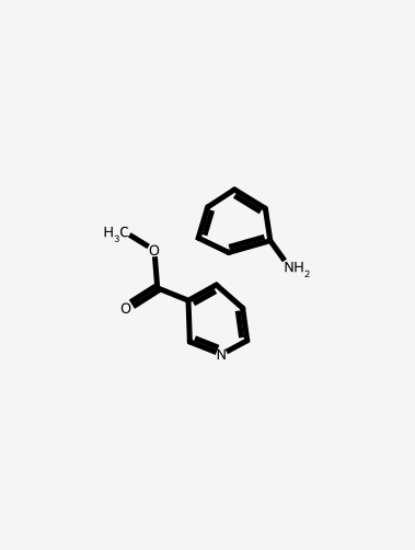 COC(=O)c1cccnc1.Nc1ccccc1